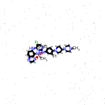 CCc1cc(Nc2ncc(F)c(Nc3ccc4nccnc4c3NS(C)(=O)=O)n2)c(OC)cc1N1CCC(N2CCN(C)CC2)CC1